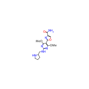 COc1nc(NCC2CCCN2)nc(OC)c1-c1nc(C(N)=O)co1